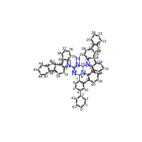 c1ccc(-c2ccc(C3=NC(n4c5ccccc5c5c6sc7ccccc7c6ccc54)NC(n4c5ccccc5c5c6sc7ccccc7c6ccc54)=N3)c(-c3ccccc3)c2)cc1